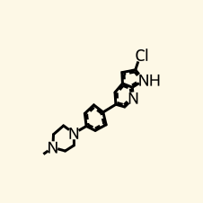 CN1CCN(c2ccc(-c3cnc4[nH]c(Cl)cc4c3)cc2)CC1